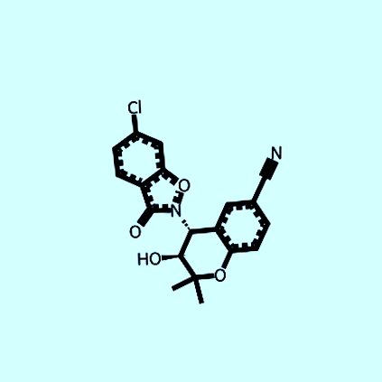 CC1(C)Oc2ccc(C#N)cc2[C@@H](n2oc3cc(Cl)ccc3c2=O)[C@@H]1O